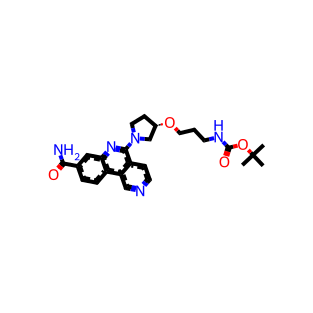 CC(C)(C)OC(=O)NCCCO[C@H]1CCN(c2nc3cc(C(N)=O)ccc3c3cnccc23)C1